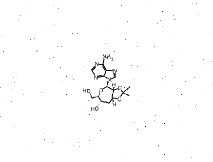 CC1(C)O[C@H]2[C@H](n3cnc4c(N)ncnc43)O[C@H](CO)[C@@H](O)C[C@H]2O1